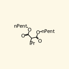 CCCCCOC(=O)C(C(=O)OCCCCC)C(C)C